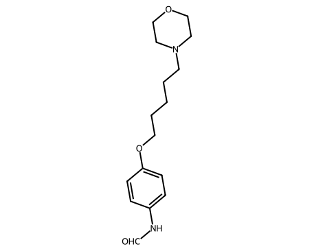 O=CNc1ccc(OCCCCCN2CCOCC2)cc1